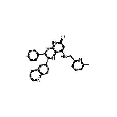 Cc1cccc(CNc2cc(=O)[nH]c3nc(-c4ccccc4)c(-c4ccc5ncccc5c4)nc23)n1